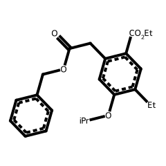 CCOC(=O)c1cc(CC)c(OC(C)C)cc1CC(=O)OCc1ccccc1